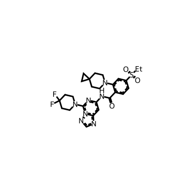 CCS(=O)(=O)c1ccc(C(=O)Nc2cc3ncnn3c(N3CCC(F)(F)CC3)n2)c(N2CCC3(CC2)CC3)c1